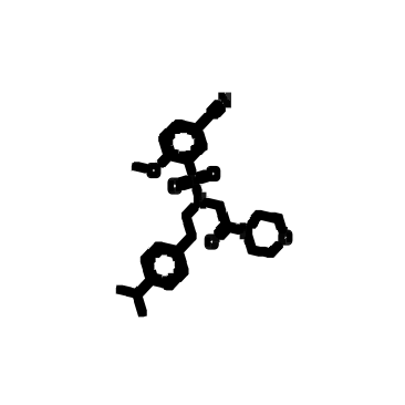 COc1ccc(C#N)cc1S(=O)(=O)N(CCc1ccc(C(C)C)cc1)CC(=O)N1CCOCC1